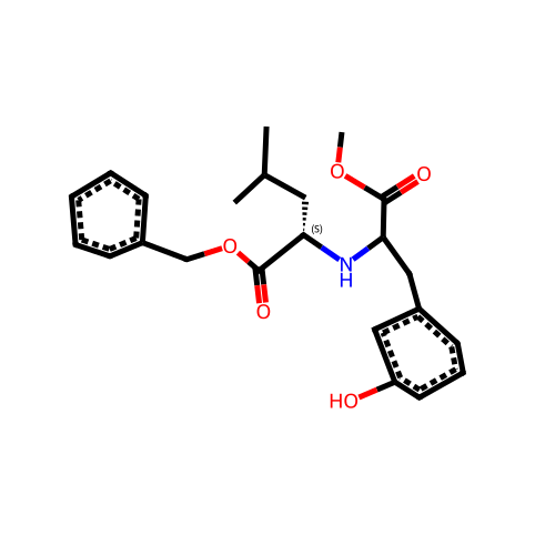 COC(=O)C(Cc1cccc(O)c1)N[C@@H](CC(C)C)C(=O)OCc1ccccc1